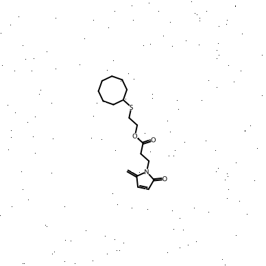 C=C1C=CC(=O)N1CCC(=O)OCCSC1CCCCCCC1